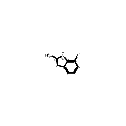 CC1Cc2cccc(F)c2N1